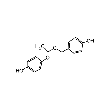 CC(OCc1ccc(O)cc1)Oc1ccc(O)cc1